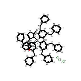 [Cl-].[Cl-].[Cl-].[Ti+3][C]1=C([Si](c2cc(Cc3ccccc3)cc(Cc3ccccc3)c2)(c2cc(Cc3ccccc3)cc(Cc3ccccc3)c2)c2cc(Cc3ccccc3)cc(Cc3ccccc3)c2)C(c2ccccc2)=CC1